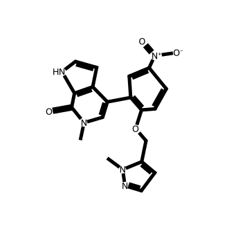 Cn1nccc1COc1ccc([N+](=O)[O-])cc1-c1cn(C)c(=O)c2[nH]ccc12